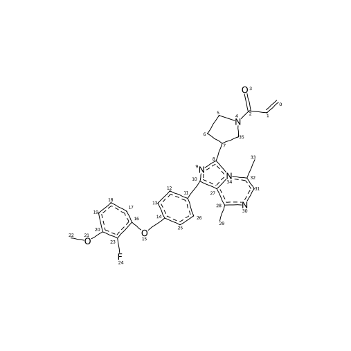 C=CC(=O)N1CCC(c2nc(-c3ccc(Oc4cccc(OC)c4F)cc3)c3c(C)ncc(C)n23)C1